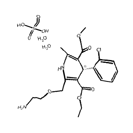 CCOC(=O)C1=C(COCCN)NC(C)=C(C(=O)OC)[C@@H]1c1ccccc1Cl.O.O.O=S(=O)(O)O